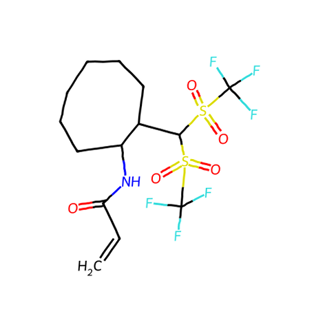 C=CC(=O)NC1CCCCCCC1C(S(=O)(=O)C(F)(F)F)S(=O)(=O)C(F)(F)F